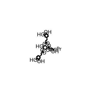 CCCC(O)COC(=O)[C@]1(O)C[C@@H](OC(=O)/C=C/c2ccc(O)c(O)c2)[C@@H](O)[C@H](OC(=O)/C=C/c2ccc(O)c(O)c2)C1